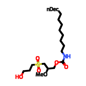 CCCCCCCCCCCCCCCCCCNC(=O)OCC(CS(=O)(=O)CCCO)OC